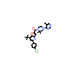 Cc1cncnc1N1CCN(C(=O)c2cc3nc(-c4ccc(Cl)cc4)cc(C(C)(C)C)c3o2)C(C)(C)C1